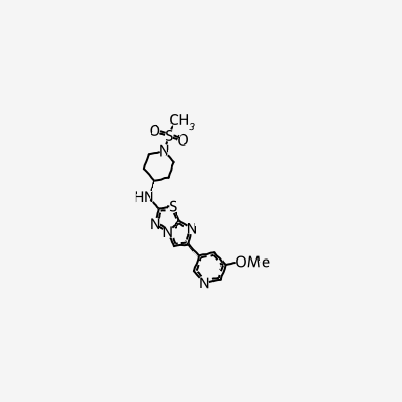 COc1cncc(-c2cn3nc(NC4CCN(S(C)(=O)=O)CC4)sc3n2)c1